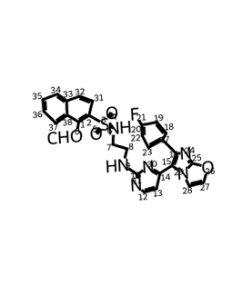 O=Cc1c(S(=O)(=O)NCCNc2nccc(-c3c(-c4ccc(F)cc4)nc4occn34)n2)ccc2ccccc12